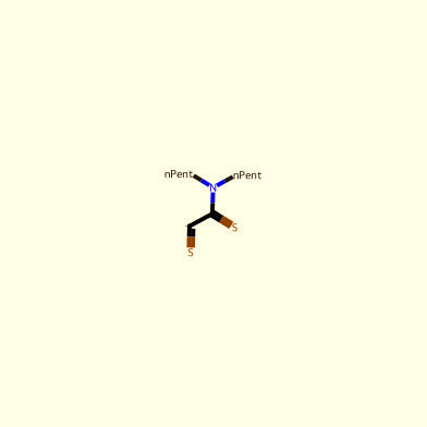 CCCCCN(CCCCC)C(=S)[C]=S